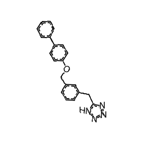 c1ccc(-c2ccc(OCc3cccc(Cc4nnn[nH]4)c3)cc2)cc1